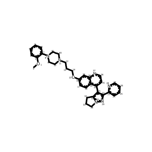 COc1ccccc1N1CCN(CCCOc2ccc3c(-c4c(-c5ccccn5)nn5c4CCC5)ccnc3c2)CC1